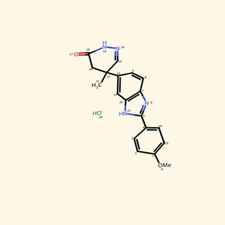 COc1ccc(-c2nc3ccc(C4(C)C=NNC(=O)C4)cc3[nH]2)cc1.Cl